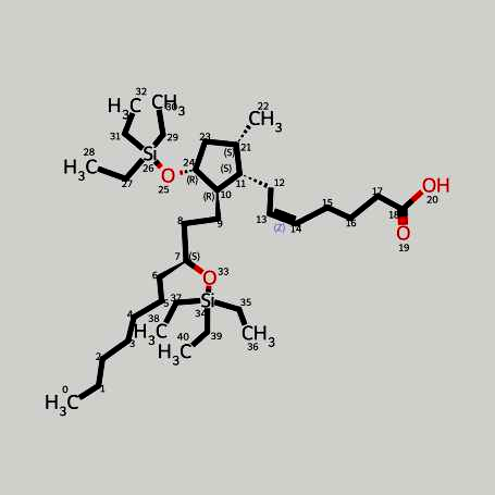 CCCCCCC[C@@H](CC[C@@H]1[C@@H](C/C=C\CCCC(=O)O)[C@@H](C)C[C@H]1O[Si](CC)(CC)CC)O[Si](CC)(CC)CC